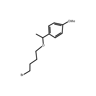 COc1ccc(C(C)OCCCCBr)cc1